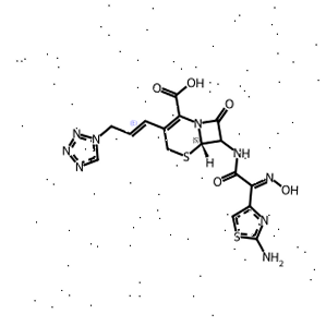 Nc1nc(C(=NO)C(=O)NC2C(=O)N3C(C(=O)O)=C(/C=C/Cn4cnnn4)CS[C@@H]23)cs1